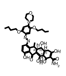 CCCCOc1cc(N2CCOCC2)c(OCCCC)cc1N=Nc1ccc(O)c2c1C(C)[C@@H]1C(=C(O)[C@]3(O)C(=O)C(C(N)=O)=C(O)C[C@@H]3[C@H]1O)C2=O